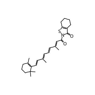 CC1=C(/C=C/C(C)=C/C=C/C(C)=C/C(=O)n2sc3c(c2=O)CCCC3)C(C)(C)CCC1